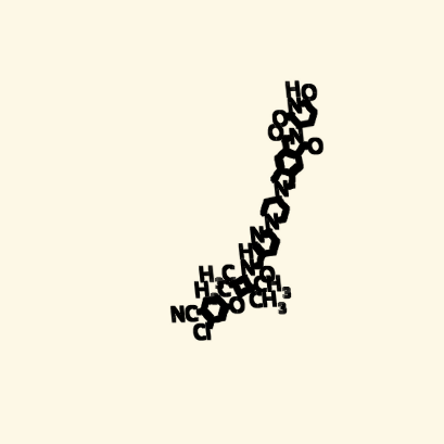 CC1(C)[C@H](NC(=O)c2ccc(N3CCC(N4Cc5cc6c(cc5C4)C(=O)N(C4CCC(=O)NC4=O)C6=O)CC3)nc2)C(C)(C)[C@H]1Oc1ccc(C#N)c(Cl)c1